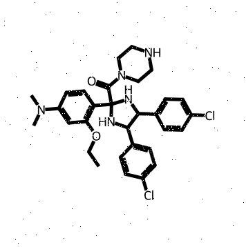 CCOc1cc(N(C)C)ccc1C1(C(=O)N2CCNCC2)NC(c2ccc(Cl)cc2)C(c2ccc(Cl)cc2)N1